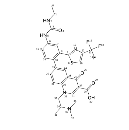 CCNC(=O)Nc1cc(-c2nc(C(F)(F)F)cs2)c(-c2ccc3c(c2)c(=O)c(C(=O)O)cn3CC(C)N(C)C)cn1